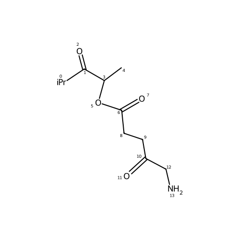 CC(C)C(=O)C(C)OC(=O)CCC(=O)CN